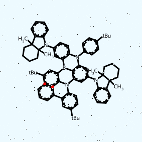 CC(C)(C)c1ccc(N2c3ccc(N4c5ccccc5C5(C)CCCCC45C)cc3B3c4cc(C(C)(C)C)ccc4N(c4ccc(C(C)(C)C)cc4-c4ccccc4)c4cc(N5c6ccccc6C6(C)CCCCC56C)cc2c43)cc1